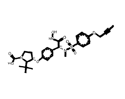 CC#CCOc1ccc(S(=O)(=O)N(C)[C@@H](C(=O)NO)c2ccc(O[C@H]3CCN(C(=O)O)C3C(C)(C)C)cc2)cc1